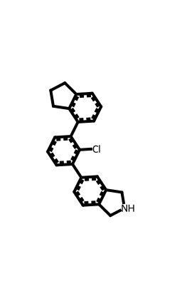 Clc1c(-c2ccc3c(c2)CNC3)cccc1-c1cccc2c1CCC2